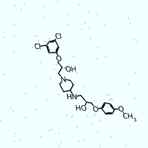 COc1ccc(OC[C@@H](O)CNC2CCN(C[C@@H](O)COc3cc(Cl)cc(Cl)c3)CC2)cc1